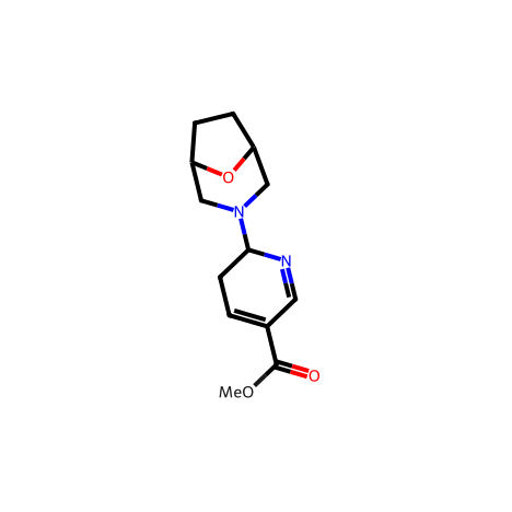 COC(=O)C1=CCC(N2CC3CCC(C2)O3)N=C1